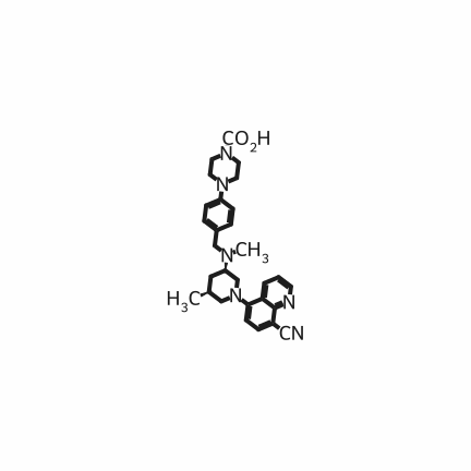 C[C@H]1C[C@@H](N(C)Cc2ccc(N3CCN(C(=O)O)CC3)cc2)CN(c2ccc(C#N)c3ncccc23)C1